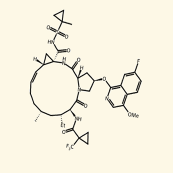 CC[C@@H]1C[C@H](C)CCC=C[C@@H]2C[C@@]2(C(=O)NS(=O)(=O)C2(C)CC2)NC(=O)[C@@H]2C[C@@H](Oc3ncc(OC)c4ccc(F)cc34)CN2C(=O)[C@H]1NC(=O)C1(C(F)(F)F)CC1